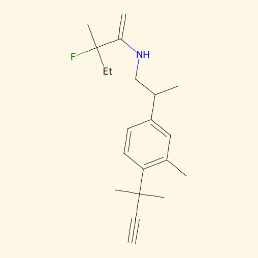 C#CC(C)(C)c1ccc(C(C)CNC(=C)C(C)(F)CC)cc1C